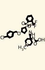 CN1CCC(C#N)(NC(=O)O)CC1.O=S(=O)(c1ccccc1C(F)(F)F)[C@H]1CC[C@H](OCc2ccc(Cl)cc2)C1